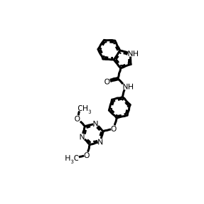 COc1nc(OC)nc(Oc2ccc(NC(=O)c3c[nH]c4ccccc34)cc2)n1